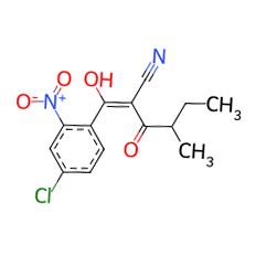 CCC(C)C(=O)C(C#N)=C(O)c1ccc(Cl)cc1[N+](=O)[O-]